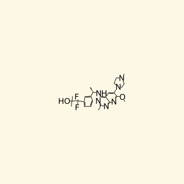 COc1nc2nc(C)nc(N[C@H](C)c3cccc(C(F)(F)C(C)(C)O)c3)c2cc1N1CCN(C)CC1